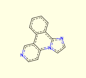 c1ccc2c(c1)c1cnccc1n1ccnc21